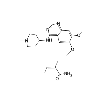 CC=C(C)C(N)=O.COc1cc2ncnc(NC3CCN(C)CC3)c2cc1OC